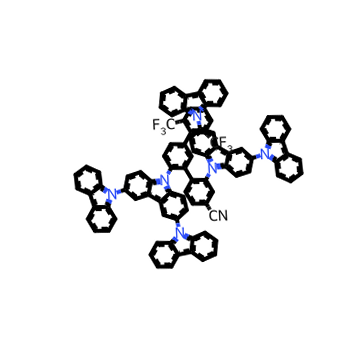 N#Cc1ccc(-c2cc(-c3c(C(F)(F)F)cccc3C(F)(F)F)ccc2-n2c3ccc(-n4c5ccccc5c5ccccc54)cc3c3cc(-n4c5ccccc5c5ccccc54)ccc32)c(-n2c3ccc(-n4c5ccccc5c5ccccc54)cc3c3cc(-n4c5ccccc5c5ccccc54)ccc32)c1